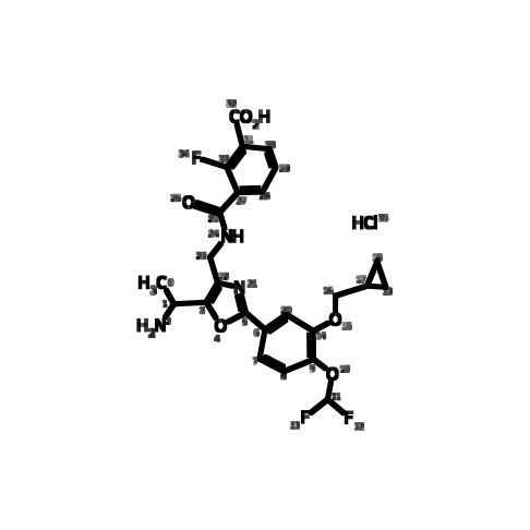 CC(N)c1oc(-c2ccc(OC(F)F)c(OCC3CC3)c2)nc1CNC(=O)c1cccc(C(=O)O)c1F.Cl